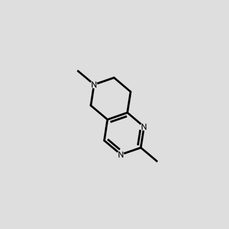 Cc1ncc2c(n1)CCN(C)C2